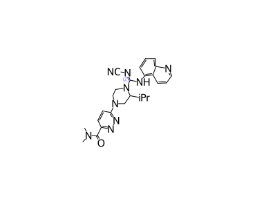 CC(C)C1CN(c2ccc(C(=O)N(C)C)nn2)CCN1/C(=N\C#N)Nc1cccc2ncccc12